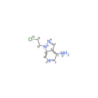 Nc1cncc2c1cnn2CCCl